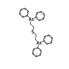 c1ccc([As](CCSCC[As](c2ccccc2)c2ccccc2)c2ccccc2)cc1